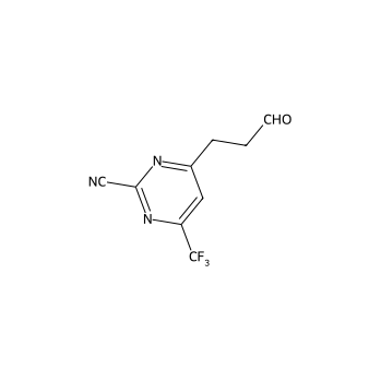 N#Cc1nc(CCC=O)cc(C(F)(F)F)n1